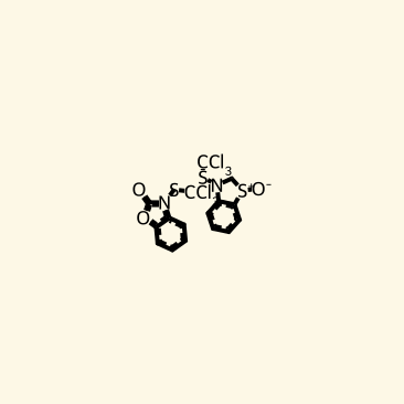 O=c1oc2ccccc2n1SC(Cl)(Cl)Cl.[O-][S+]1CN(SC(Cl)(Cl)Cl)c2ccccc21